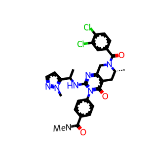 CNC(=O)c1ccc(-n2c(NC(C)c3ccnn3C)nc3c(c2=O)C[C@@H](C)N(C(=O)c2ccc(Cl)c(Cl)c2)C3)cc1